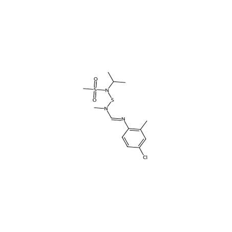 Cc1cc(Cl)ccc1N=CN(C)SN(C(C)C)S(C)(=O)=O